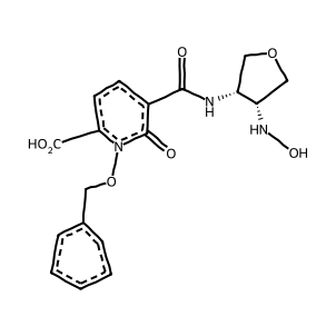 O=C(N[C@@H]1COC[C@@H]1NO)c1ccc(C(=O)O)n(OCc2ccccc2)c1=O